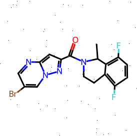 CC1c2c(F)ccc(F)c2CCN1C(=O)c1cc2ncc(Br)cn2n1